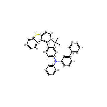 CC1(C)c2cc(N(c3ccccc3)c3cccc(-c4ccccc4)c3)ccc2-c2c1ccc1sc3ccccc3c21